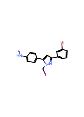 CNc1ccc(-c2cc(-c3cccc(Br)c3)nn2CI)cc1